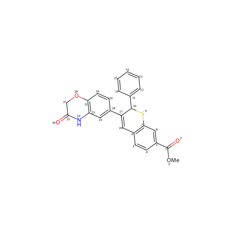 COC(=O)c1ccc2c(c1)SC(c1ccccc1)C(c1ccc3c(c1)NC(=O)CO3)=C2